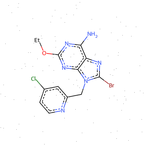 CCOc1nc(N)c2nc(Br)n(Cc3cc(Cl)ccn3)c2n1